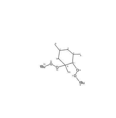 CC1CC(C)C(OOC(C)(C)C)C(C)(OOC(C)(C)C)C1